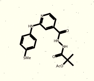 CSc1ccc(Nc2cc(C(=O)NNC(=O)C(C)(C)OC(C)=O)ccn2)cc1